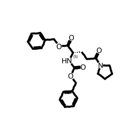 O=C(N[C@@H](CCC(=O)N1CCCC1)C(=O)OCc1ccccc1)OCc1ccccc1